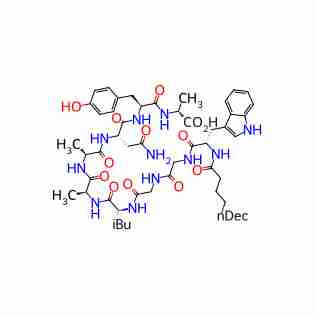 CCCCCCCCCCCCCC(=O)N[C@@H](Cc1c[nH]c2ccccc12)C(=O)NCC(=O)NCC(=O)N[C@H](C(=O)N[C@@H](C)C(=O)N[C@@H](C)C(=O)N[C@@H](CC(N)=O)C(=O)N[C@@H](Cc1ccc(O)cc1)C(=O)N[C@@H](C)C(=O)O)[C@@H](C)CC